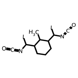 CC1C(C(I)N=C=O)CCCC1C(I)N=C=O